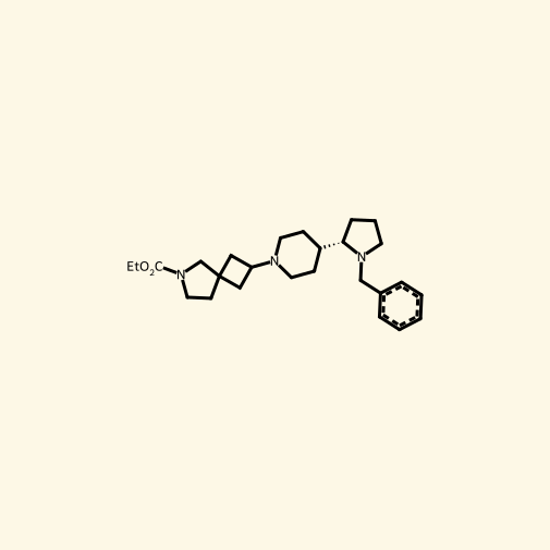 CCOC(=O)N1CCC2(CC(N3CCC([C@@H]4CCCN4Cc4ccccc4)CC3)C2)C1